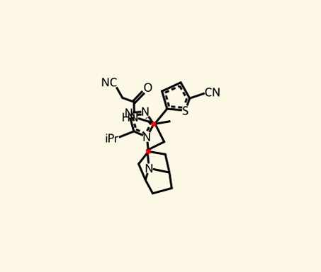 Cc1nnc(C(C)C)n1C1CC2CCC(C1)N2CCC(NC(=O)CC#N)c1ccc(C#N)s1